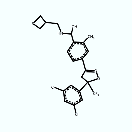 Cc1cc(C2=NOC(c3cc(Cl)cc(Cl)c3)(C(F)(F)F)C2)ccc1C(O)NCC1CSC1